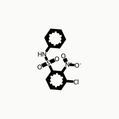 O=[N+]([O-])c1c(Cl)cccc1S(=O)(=O)Nc1ccccc1